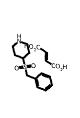 O=C(O)C=CC(=O)O.O=S(=O)(Cc1ccccc1)C1CCNCC1